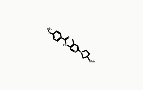 CCCCOc1ccc(C(=O)Nc2cnc(N3CCC(NC)C3)cc2C)cc1